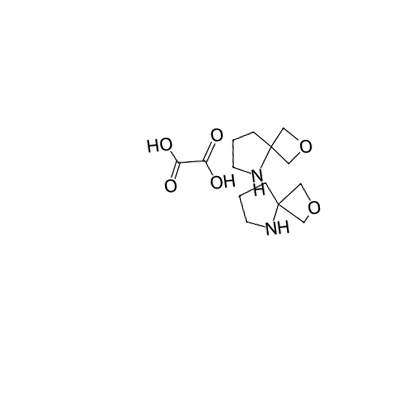 C1CNC2(C1)COC2.C1CNC2(C1)COC2.O=C(O)C(=O)O